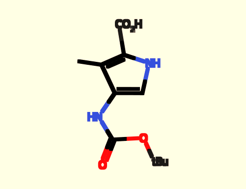 Cc1c(NC(=O)OC(C)(C)C)c[nH]c1C(=O)O